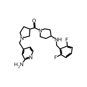 Nc1cc(CN2CCC(C(=O)N3CCC(NCc4c(F)cccc4F)CC3)C2)ccn1